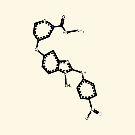 CNC(=O)c1cc(Oc2ccc3c(c2)nc(Nc2ccc([N+](=O)[O-])cc2)n3C)ccn1